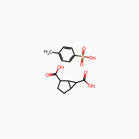 Cc1ccc(S(=O)(=O)O)cc1.O=C(O)C1CCC2C(C(=O)O)C12